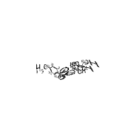 Cc1ccc(S(=O)(=O)O[C@@H](C=O)[C@@H](O)[C@H](O)[C@H](O)CO)cc1